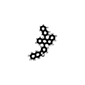 c1ccc2cc(-c3c4ccccc4c(-c4ccc5oc6cc7ccccc7cc6c5c4)c4ccc5ccccc5c34)ccc2c1